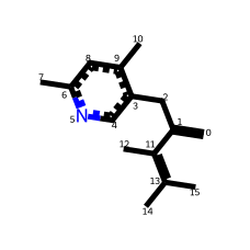 C=C(Cc1cnc(C)cc1C)C(C)=C(C)C